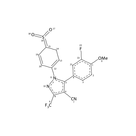 COc1ccc(-c2c(C#N)c(C(F)(F)F)nn2C2=CCC(=S(=O)=O)C=C2)cc1F